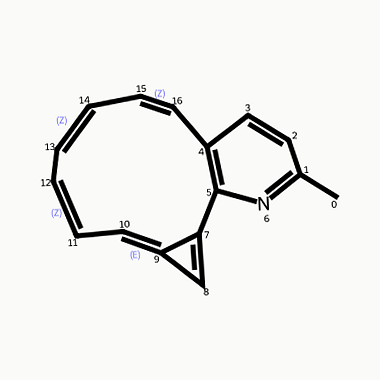 Cc1ccc2c(n1)C1=CC\1=C/C=C\C=C/C=C\2